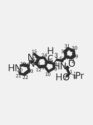 CC(C)[C@H](O)C(=O)NC(C[C@H]1CCC2=Cc3c(cnn3C3=CNCC=C3)C[C@@]21C)c1ccccc1